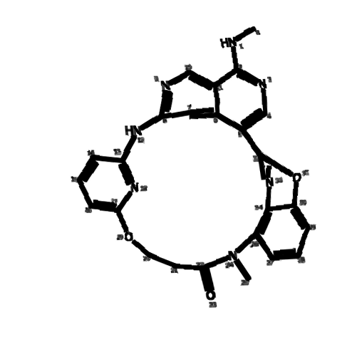 CNc1ncc2c3cc(ncc13)Nc1cccc(n1)OCCC(=O)N(C)c1cccc3oc-2nc13